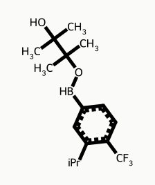 CC(C)c1cc(BOC(C)(C)C(C)(C)O)ccc1C(F)(F)F